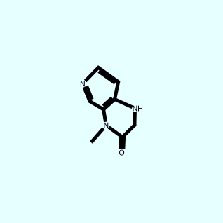 CN1C(=O)CNc2ccncc21